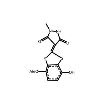 COc1ccc(O)c2c1S/C(=C1/C(=O)NN(C)C1=O)S2